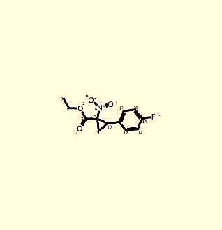 CCOC(=O)C1([N+](=O)[O-])CC1c1ccc(F)cc1